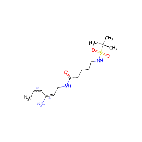 C/C=C\C(N)=C/CNC(=O)CCCCNS(=O)(=O)C(C)(C)C